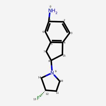 Nc1ccc2c(c1)CC(N1CC[C@H](F)C1)C2